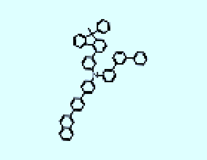 CC1(c2ccccc2)c2ccccc2-c2c(-c3cccc(N(c4ccc(-c5ccc(-c6ccc7ccccc7c6)cc5)cc4)c4cccc(-c5cccc(-c6ccccc6)c5)c4)c3)cccc21